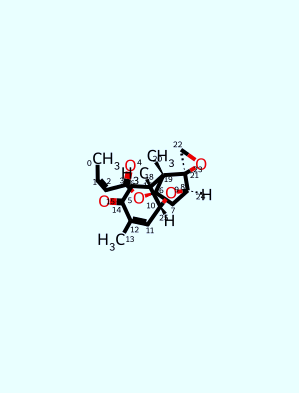 C/C=C\C(=O)O[C@@H]1C[C@H]2O[C@@H]3C=C(C)C(=O)C[C@]3(C)[C@]1(C)[C@]21CO1